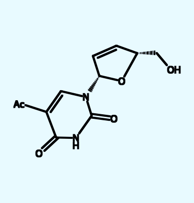 CC(=O)c1cn([C@@H]2C=C[C@H](CO)O2)c(=O)[nH]c1=O